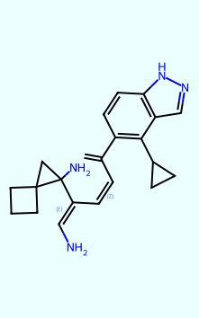 C=C(/C=C\C(=C/N)C1(N)CC12CCC2)c1ccc2[nH]ncc2c1C1CC1